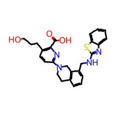 O=C(O)c1nc(N2CCc3cccc(CNc4nc5ccccc5s4)c3C2)ccc1CCCO